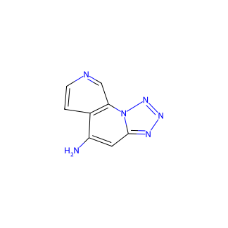 Nc1cc2nnnn2c2cnccc12